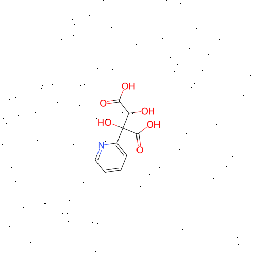 O=C(O)C(O)C(O)(C(=O)O)c1ccccn1